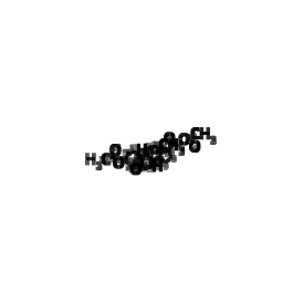 CC(=O)OCC(=O)[C@H]1CC[C@H]2[C@@H]3CC4OC[C@@]5(CC[C@H](OC(C)=O)C[C@]45Cl)[C@H]3CC[C@]12C